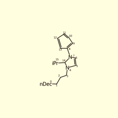 CCCCCCCCCCCCCN1C=CN(c2ccccc2)C1C(C)C